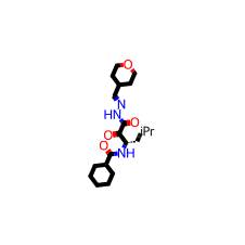 CC(C)C[C@H](NC(=O)C1CCCCC1)C(=O)C(=O)N/N=C/C1CCOCC1